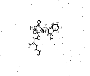 CCCCC(CC)COC(=O)N[C@@H](Cc1c[nH]c2ccccc12)C(=O)O